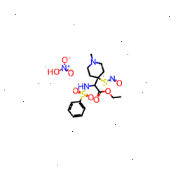 CCOC(=O)C(NS(=O)(=O)c1ccccc1)C1(SN=O)CCN(C)CC1.O=[N+]([O-])O